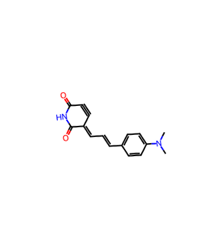 CN(C)c1ccc(/C=C/C=C2\C#CC(=O)NC2=O)cc1